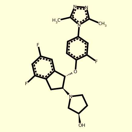 Cc1nnc(C)n1-c1ccc(O[C@H]2c3cc(F)cc(F)c3C[C@@H]2N2CC[C@@H](O)C2)c(F)c1